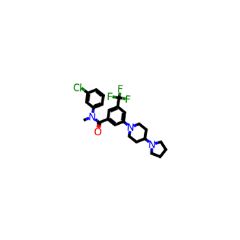 CN(C(=O)c1cc(N2CCC(N3CCCC3)CC2)cc(C(F)(F)F)c1)c1cccc(Cl)c1